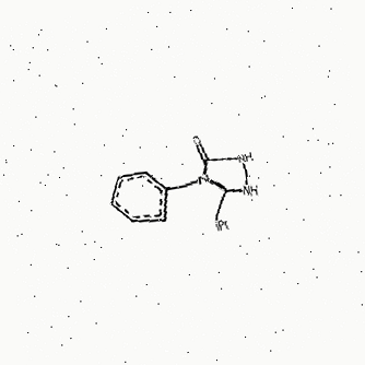 CC(C)C1NNC(=O)N1c1ccccc1